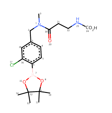 CN(Cc1ccc(B2OC(C)(C)C(C)(C)O2)c(Cl)c1)C(=O)CCNC(=O)O